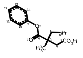 CC(C)CC(C)(CC(=O)O)C(=O)Oc1ccccc1